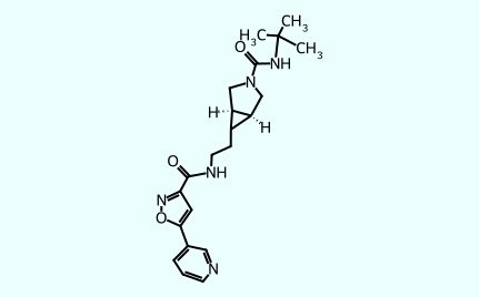 CC(C)(C)NC(=O)N1C[C@@H]2C(CCNC(=O)c3cc(-c4cccnc4)on3)[C@@H]2C1